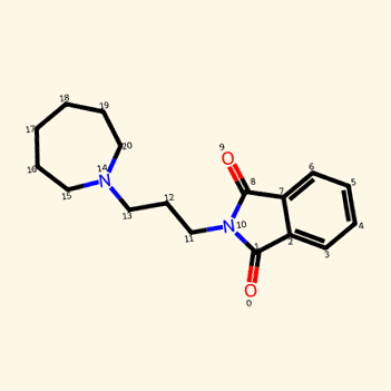 O=C1c2ccccc2C(=O)N1CCCN1CCCCCC1